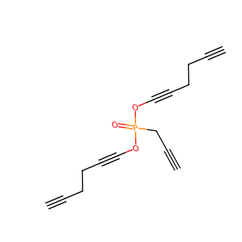 C#CCCC#COP(=O)(CC#C)OC#CCCC#C